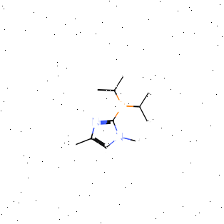 Cc1cn(C)c(P(C(C)C)C(C)C)n1